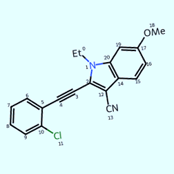 CCn1c(C#Cc2ccccc2Cl)c(C#N)c2ccc(OC)cc21